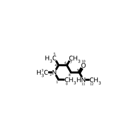 CCN(C)C(C)C(C)CC(=O)NC